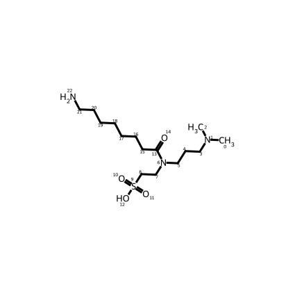 CN(C)CCCN(CCS(=O)(=O)O)C(=O)CCCCCCCN